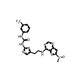 C[S+]([O-])c1cc2ncnc(NCCc3cnc(NC(=O)Nc4cccc(C(F)(F)F)c4)s3)c2s1